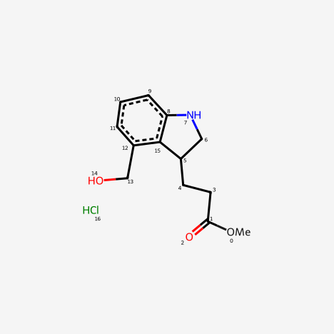 COC(=O)CCC1CNc2cccc(CO)c21.Cl